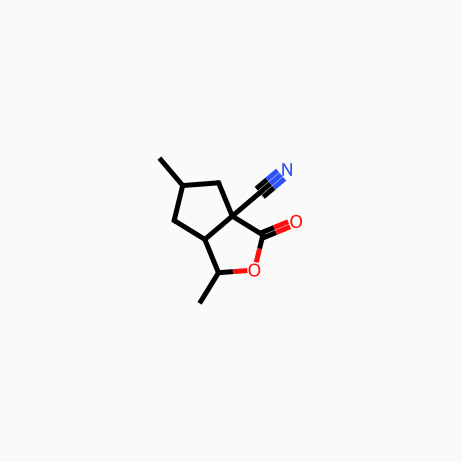 CC1CC2C(C)OC(=O)C2(C#N)C1